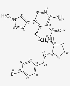 COc1c(-c2cnn(C)c2)cnc(N)c1C(=O)N[C@H]1CCC[C@@H]1OCc1ccc(Br)cc1